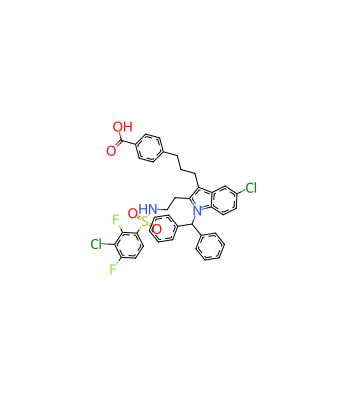 O=C(O)c1ccc(CCCc2c(CCNS(=O)(=O)c3ccc(F)c(Cl)c3F)n(C(c3ccccc3)c3ccccc3)c3ccc(Cl)cc23)cc1